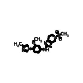 COc1cc(Nc2nc3c(s2)CN(S(C)(=O)=O)CC3)ccc1-n1cnc(C)c1